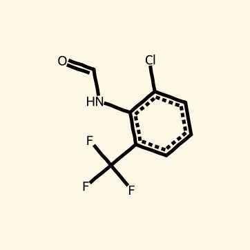 O=CNc1c(Cl)cccc1C(F)(F)F